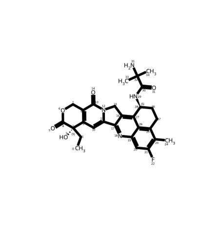 CC[C@@]1(O)C(=O)OCc2c1cc1n(c2=O)Cc2c-1nc1cc(F)c(C)c3c1c2[C@@H](NC(=O)C(C)(C)N)CC3